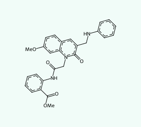 COC(=O)c1ccccc1NC(=O)Cn1c(=O)c(CNc2ccccc2)cc2ccc(OC)cc21